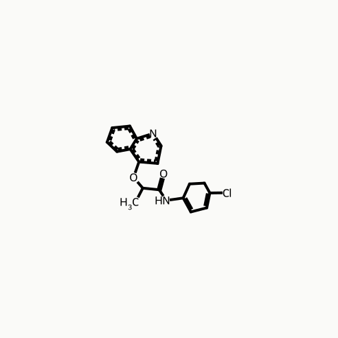 CC(Oc1ccnc2ccccc12)C(=O)NC1=CC=C(Cl)CC1